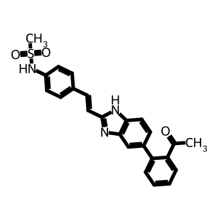 CC(=O)c1ccccc1-c1ccc2[nH]c(/C=C/c3ccc(NS(C)(=O)=O)cc3)nc2c1